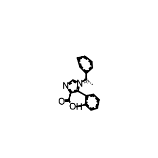 Cc1ccccc1-c1c(C(=O)O)ncn1[C@@H](C)c1ccccc1